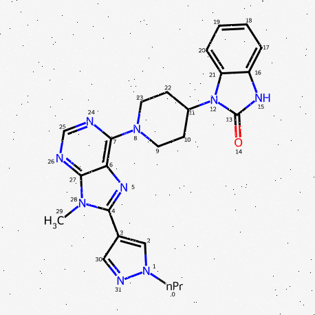 CCCn1cc(-c2nc3c(N4CCC(n5c(=O)[nH]c6ccccc65)CC4)ncnc3n2C)cn1